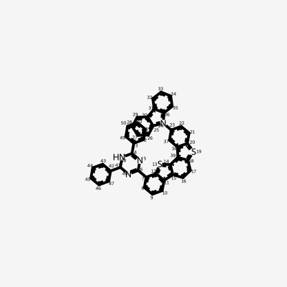 c1ccc(C2=NC(c3cccc4c3sc3c4ccc4sc5ccc(-n6c7ccccc7c7ccccc76)cc5c43)=NC(c3ccccc3)N2)cc1